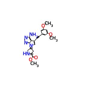 COC(=O)[C@@H]1C[C@H](n2cc(C#Cc3cc(OC)cc(OC)c3)c3c(N)ncnc32)CN1